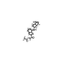 CN(C)C(=O)CN(C)C(=O)c1nc2c(Nc3cc4cn[nH]c4cn3)ncnc2s1